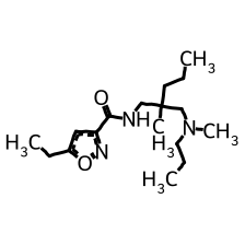 CCCN(C)CC(C)(CCC)CNC(=O)c1cc(CC)on1